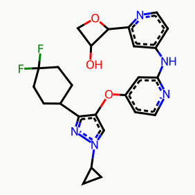 OC1COC1c1cc(Nc2cc(Oc3cn(C4CC4)nc3C3CCC(F)(F)CC3)ccn2)ccn1